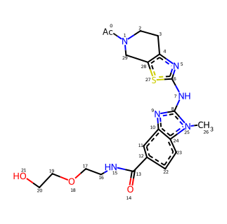 CC(=O)N1CCc2nc(Nc3nc4cc(C(=O)NCCOCCO)ccc4n3C)sc2C1